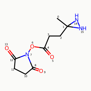 CC1(CCC(=O)ON2C(=O)CCC2=O)NN1